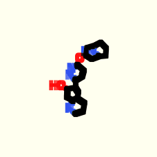 Oc1cc2ncccc2cc1-c1ccc(OC2CC3CCCC(C2)N3)nn1